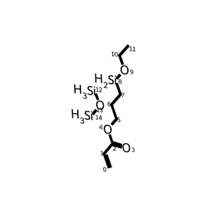 C=CC(=O)OCCC[SiH2]OCC.[SiH3]O[SiH3]